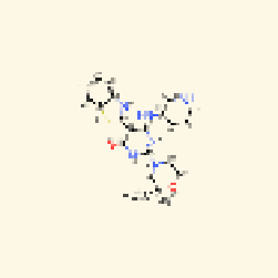 CCC1(C(=O)O)CN(c2nc(N[C@@H]3CCCNC3)c(-c3nc4ccccc4s3)c(=O)[nH]2)CCO1